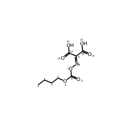 CCCCOC(=O)ON=C(C(=O)O)C(=O)O